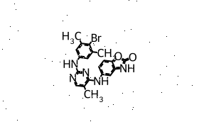 Cc1cnc(Nc2cc(C)c(Br)c(C)c2)nc1Nc1ccc2oc(=O)[nH]c2c1